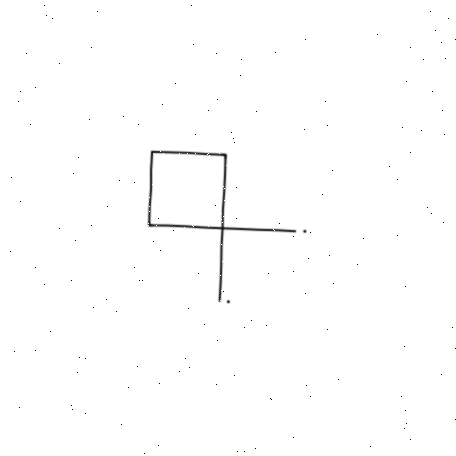 [CH2]C1([CH2])CCC1